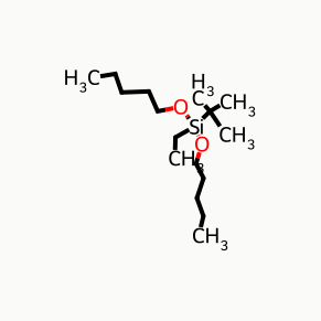 CCCCCO[Si](CC)(OCCCCC)C(C)(C)C